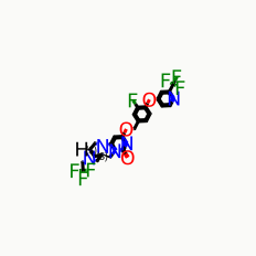 O=c1nc(OCc2ccc(Oc3ccnc(C(F)(F)F)c3)c(F)c2)cc2n1C[C@@]13C[C@@H](CN21)N(CC(F)(F)F)C3